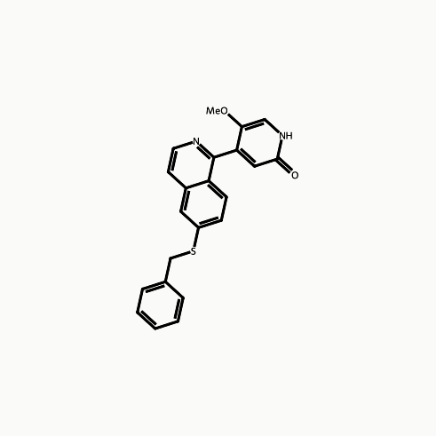 COc1c[nH]c(=O)cc1-c1nccc2cc(SCc3ccccc3)ccc12